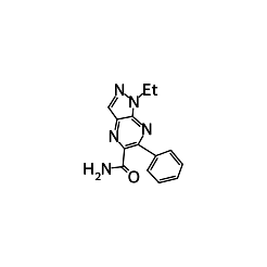 CCn1ncc2nc(C(N)=O)c(-c3ccccc3)nc21